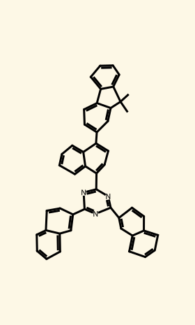 CC1(C)c2ccccc2-c2ccc(-c3ccc(-c4nc(-c5ccc6ccccc6c5)nc(-c5ccc6ccccc6c5)n4)c4ccccc34)cc21